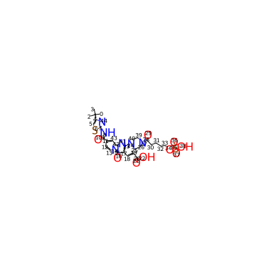 CC(C)(C)c1csc(NC(=O)c2ccn3c(=O)c(/C=C/C(=O)O)c(N4CCN(C(=O)CCCCOS(=O)(=O)O)CC4)nc3c2)n1